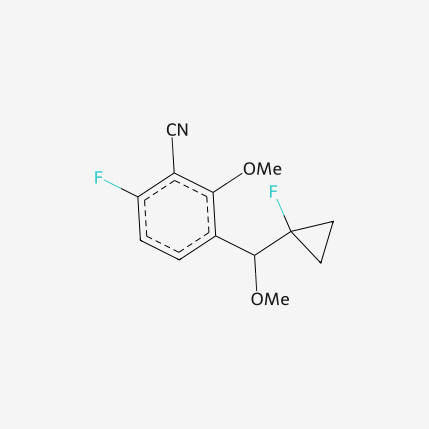 COc1c(C(OC)C2(F)CC2)ccc(F)c1C#N